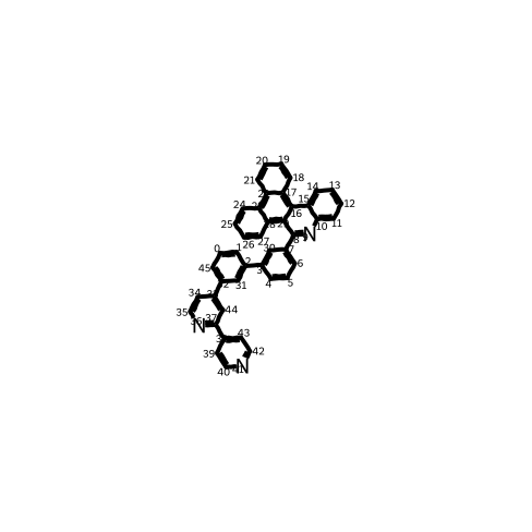 c1cc(-c2cccc(-c3nc4ccccc4c4c5ccccc5c5ccccc5c34)c2)cc(-c2ccnc(-c3ccncc3)c2)c1